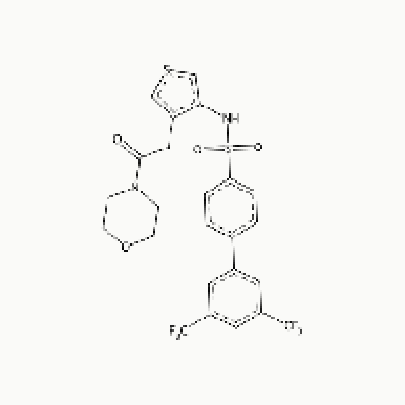 O=C(Cc1cscc1NS(=O)(=O)c1ccc(-c2cc(C(F)(F)F)cc(C(F)(F)F)c2)cc1)N1CCOCC1